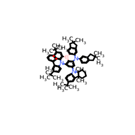 CC1(C)Cc2ccc(N3c4cc5c(cc4B4c6cc(C(C)(C)C)ccc6N(c6ccc(C(C)(C)C)cc6-c6ccccc6)c6cc(N7c8ccc(C(C)(C)C)cc8C8(C)CCCCC78C)cc3c64)CC(C)(C)C5)cc2C1